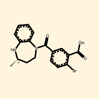 C[C@H]1CCN(C(=O)c2ccc(Br)c(C(=O)O)c2)c2ccccc2N1